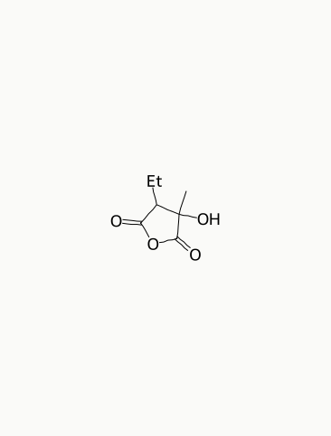 CCC1C(=O)OC(=O)C1(C)O